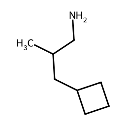 CC(CN)CC1CCC1